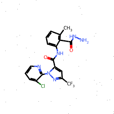 Cc1cccc(NC(=O)c2cc(C(F)(F)F)nn2-c2ncccc2Cl)c1C(=O)NN